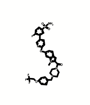 Cn1c(C(=O)N2CCN(Cc3ccc(OCC(F)(F)F)cc3)CC2)cc2ccc(Oc3ccc(-c4cc(S(N)(=O)=O)ccc4F)cn3)cc21